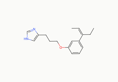 C/C=C(/CC)c1cccc(OCCCc2c[nH]cn2)c1